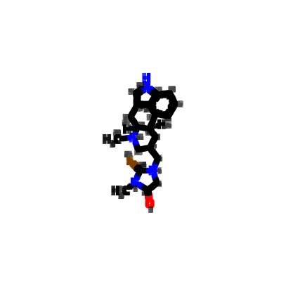 CN1C(=O)CN(CC2C[C@@H]3c4cccc5[nH]cc(c45)C[C@H]3N(C)C2)C1=S